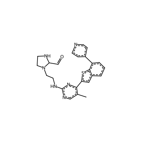 Cc1cnc(NCCN2CCNC2C=O)nc1-c1cc2cccc(-c3ccncc3)c2s1